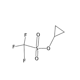 O=S(=O)(OC1CC1)C(F)(F)F